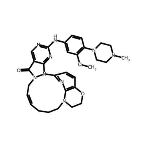 COc1cc(Nc2ncc3c(=O)n4n(c3n2)-c2ccc3c(n2)N(CCC/C=C\C4)CCO3)ccc1N1CCN(C)CC1